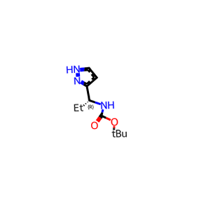 CC[C@@H](NC(=O)OC(C)(C)C)c1cc[nH]n1